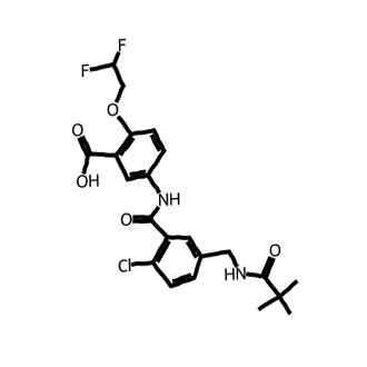 CC(C)(C)C(=O)NCc1ccc(Cl)c(C(=O)Nc2ccc(OCC(F)F)c(C(=O)O)c2)c1